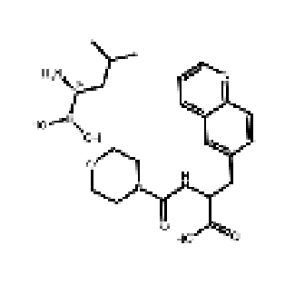 CC(C)C[C@H](N)B(O)O.O=C(O)C(Cc1ccc2ncccc2c1)NC(=O)N1CCOCC1